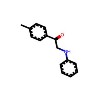 Cc1ccc(C(=O)CNc2ccccc2)cc1